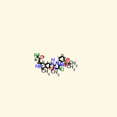 COc1cc2c(cc1Nc1ncc(Cl)c(Nc3ccccc3S(=O)(=O)C(C)C)n1)CC1(CC1C(=O)C(F)(F)F)NC2C